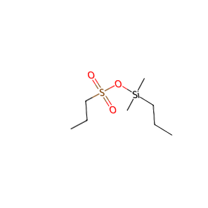 CCC[Si](C)(C)OS(=O)(=O)CCC